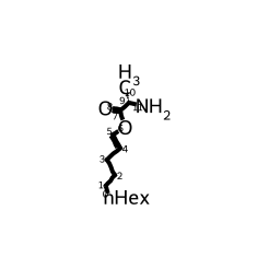 CCCCCCCCCC=COC(=O)[C@H](C)N